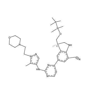 Cc1c(Nc2nccc(-c3cc(C#N)c4c(c3)[C@@](C)(CO[Si](C)(C)C(C)(C)C)CN4)n2)cnn1CCN1CCOCC1